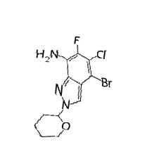 Nc1c(F)c(Cl)c(Br)c2cn(C3CCCCO3)nc12